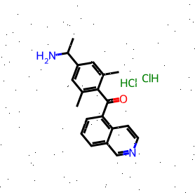 Cc1cc(C(C)N)cc(C)c1C(=O)c1cccc2cnccc12.Cl.Cl